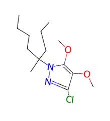 CCCCC(C)(CCC)n1nc(Cl)c(OC)c1OC